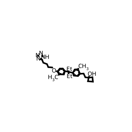 CCC(CC)(c1ccc(CCC2(O)CCC2)c(C)c1)c1ccc(OCCCCc2nnn[nH]2)c(C)c1